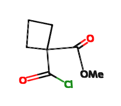 COC(=O)C1(C(=O)Cl)CCC1